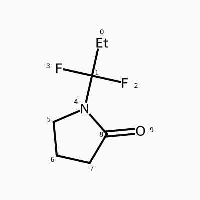 CCC(F)(F)N1CCCC1=O